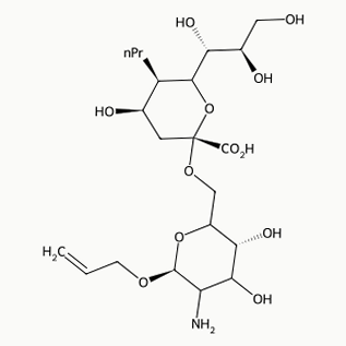 C=CCO[C@H]1OC(CO[C@]2(C(=O)O)C[C@@H](O)[C@@H](CCC)C([C@H](O)[C@H](O)CO)O2)[C@H](O)C(O)C1N